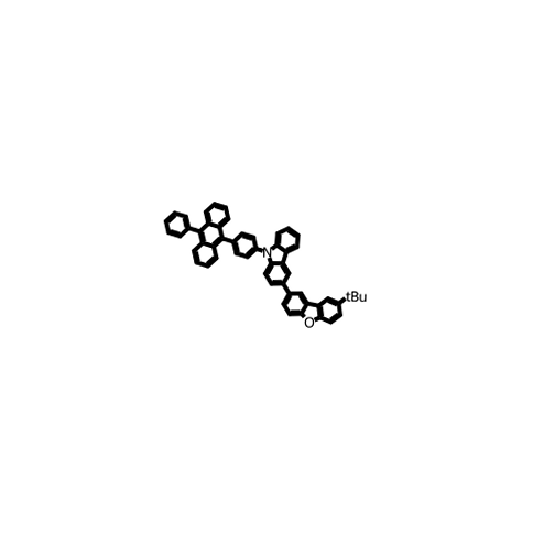 CC(C)(C)c1ccc2oc3ccc(-c4ccc5c(c4)c4ccccc4n5-c4ccc(-c5c6ccccc6c(-c6ccccc6)c6ccccc56)cc4)cc3c2c1